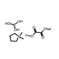 C[N+]1(C)CCCC1.O=C(OF)C(=O)OF.OB(O)O